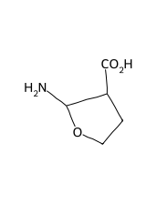 NC1OCCC1C(=O)O